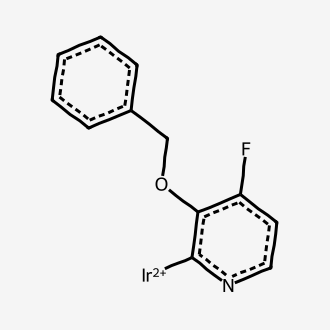 Fc1ccn[c]([Ir+2])c1OCc1ccccc1